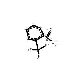 FC(F)(F)c1ccccc1.O=CO